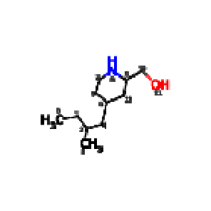 CCC(C)CC1CCNC(CO)C1